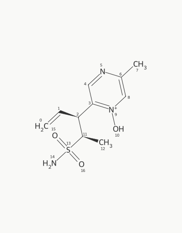 C=C[C@@H](c1cnc(C)c[n+]1O)[C@@H](C)S(N)(=O)=O